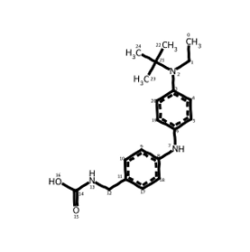 CCN(c1ccc(Nc2ccc(CNC(=O)O)cc2)cc1)C(C)(C)C